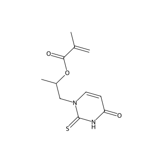 C=C(C)C(=O)OC(C)Cn1ccc(=O)[nH]c1=S